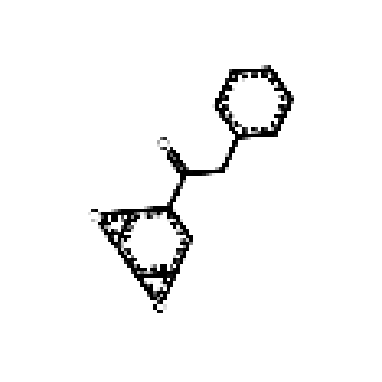 O=C(Cc1ccccc1)c1cc2oc2c2oc12